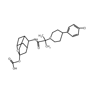 CC(C)(C(=O)NC1C2CC3CC1CC(OC(=O)O)(C3)C2)N1CCC(c2ccc(Cl)cc2)CC1